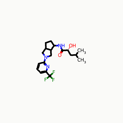 CC(C)C[C@@H](O)C(=O)NC1CCC2CN(c3cccc(C(F)(F)F)n3)CC21